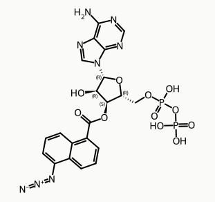 [N-]=[N+]=Nc1cccc2c(C(=O)O[C@H]3[C@@H](O)[C@H](n4cnc5c(N)ncnc54)O[C@@H]3COP(=O)(O)OP(=O)(O)O)cccc12